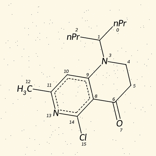 CCCC(CCC)N1CCC(=O)c2c1cc(C)nc2Cl